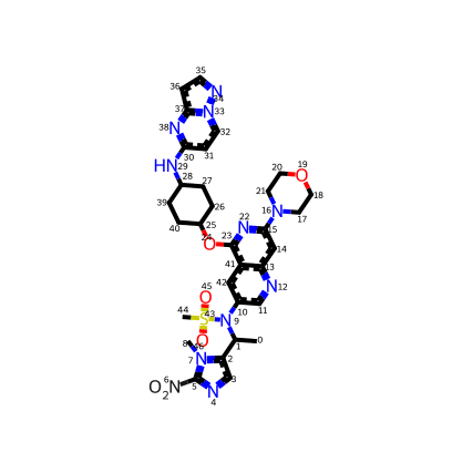 CC(c1cnc([N+](=O)[O-])n1C)N(c1cnc2cc(N3CCOCC3)nc(OC3CCC(Nc4ccn5nccc5n4)CC3)c2c1)S(C)(=O)=O